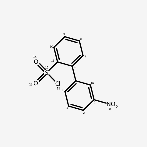 O=[N+]([O-])c1cccc(-c2ccccc2S(=O)(=O)Cl)c1